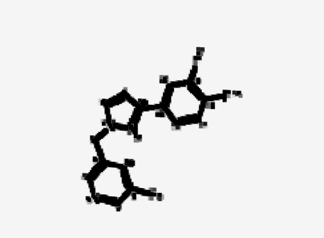 Fc1cncc(Cn2ccc(-c3ccc(F)c(F)c3)n2)c1